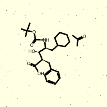 CC(C)(C)OC(=O)N[C@@H](CC1CCCCC1)[C@@H](O)[C@@H](Cc1ccccc1)C(=O)O.CC(C)=O